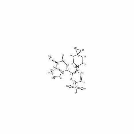 Cn1cc(-c2cc(S(C)(=O)=O)ccc2N2CCC3(CC2)CC3)c2cc[nH]c2c1=O